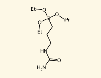 CCO[Si](CCCNC(N)=O)(OCC)OC(C)C